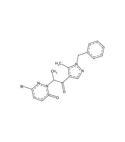 Cc1c(C(=O)C(C)n2nc(Br)ccc2=O)cnn1Cc1ccccc1